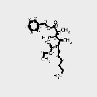 CCCCCCN(C(=O)OCC)C(C)C(C)C(C)C(=O)OCc1ccccc1